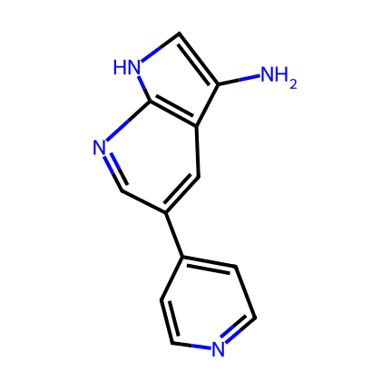 Nc1c[nH]c2ncc(-c3ccncc3)cc12